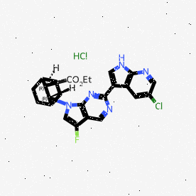 CCOC(=O)[C@@H]1C2CCC(CC2)[C@H]1n1cc(F)c2cnc(-c3c[nH]c4ncc(Cl)cc34)nc21.Cl